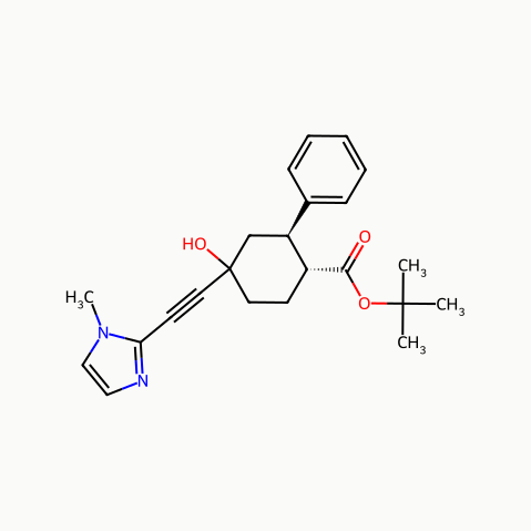 Cn1ccnc1C#CC1(O)CC[C@@H](C(=O)OC(C)(C)C)[C@H](c2ccccc2)C1